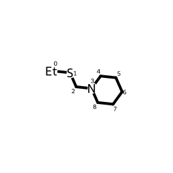 CCSCN1CCCCC1